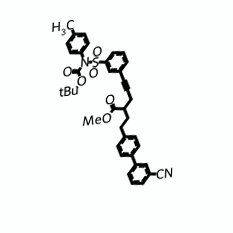 COC(=O)C(CC#Cc1cccc(S(=O)(=O)N(C(=O)OC(C)(C)C)c2ccc(C)cc2)c1)CCc1ccc(-c2cccc(C#N)c2)cc1